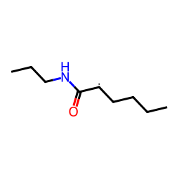 CCCC[CH]C(=O)NCCC